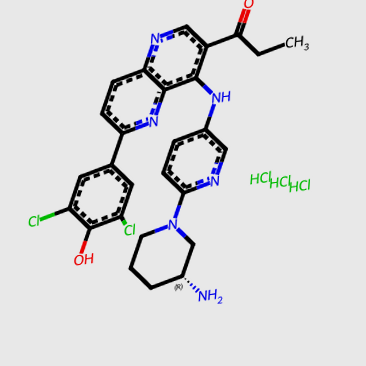 CCC(=O)c1cnc2ccc(-c3cc(Cl)c(O)c(Cl)c3)nc2c1Nc1ccc(N2CCC[C@@H](N)C2)nc1.Cl.Cl.Cl